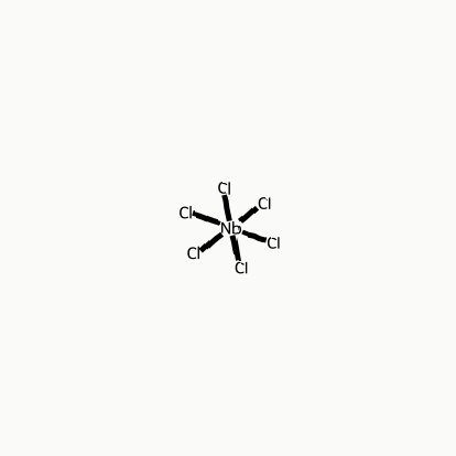 [Cl][Nb]([Cl])([Cl])([Cl])([Cl])[Cl]